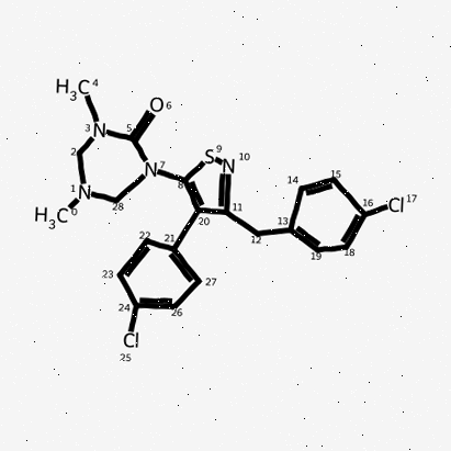 CN1CN(C)C(=O)N(c2snc(Cc3ccc(Cl)cc3)c2-c2ccc(Cl)cc2)C1